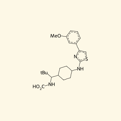 COc1cccc(-c2csc(NC3CCC(C(NC(=O)O)C(C)(C)C)CC3)n2)c1